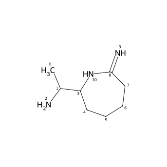 CC(N)C1CCCCC(=N)N1